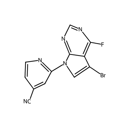 N#Cc1ccnc(-n2cc(Br)c3c(F)ncnc32)c1